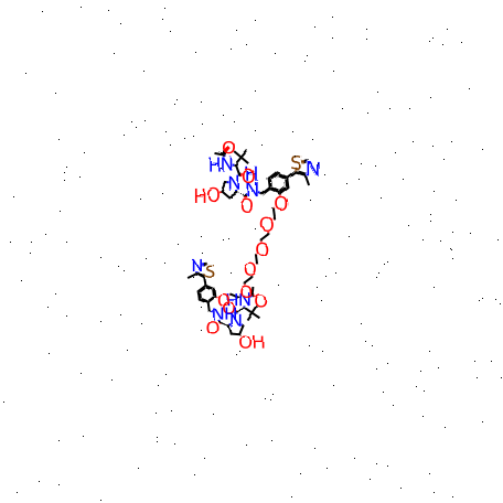 CC(=O)NC(C(=O)N1C[C@H](O)C[C@H]1C(=O)NCc1ccc(-c2scnc2C)cc1OCCOCCOCCOCCOCCOc1cc(-c2scnc2C)ccc1CNC(=O)[C@@H]1C[C@@H](O)CN1C(=O)C(NC(C)=O)C(C)(C)C)C(C)(C)C